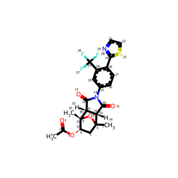 CC(=O)O[C@H]1CC2(C)O[C@@]1(C)[C@@H]1C(=O)N(c3ccc(-c4nccs4)c(C(F)(F)F)c3)C(=O)[C@@H]12